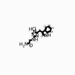 Cl.NC(=O)CNc1nc(Cc2c[nH]c3ccccc23)ns1